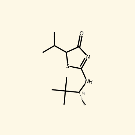 CC(C)C1SC(N[C@H](C)C(C)(C)C)=NC1=O